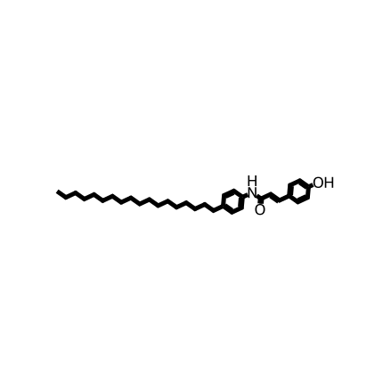 CCCCCCCCCCCCCCCCCCc1ccc(NC(=O)/C=C/c2ccc(O)cc2)cc1